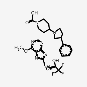 COc1ncnc2sc(N)nc12.O=C(O)C(F)(F)F.O=C(O)N1CCC(N2CCC(c3ccccc3)C2)CC1